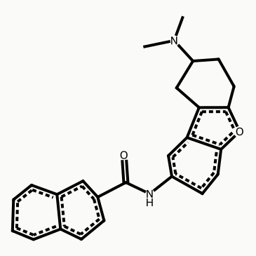 CN(C)C1CCc2oc3ccc(NC(=O)c4ccc5ccccc5c4)cc3c2C1